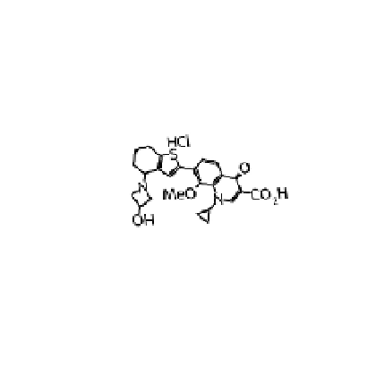 COc1c(-c2cc3c(s2)CCCC3N2CC(O)C2)ccc2c(=O)c(C(=O)O)cn(C3CC3)c12.Cl